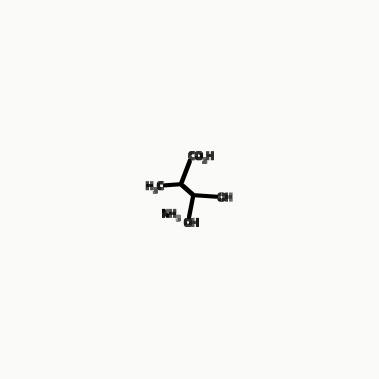 CC(C(=O)O)C(O)O.N